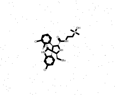 CC(C)(C)C[C@@H]1N[C@@H](C(=O)NCC[Si](C)(C)O)[C@H](c2cccc(Cl)c2F)[C@]12C(=O)Nc1cc(Cl)ccc12